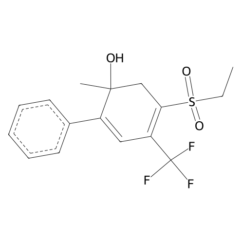 CCS(=O)(=O)C1=C(C(F)(F)F)C=C(c2ccccc2)C(C)(O)C1